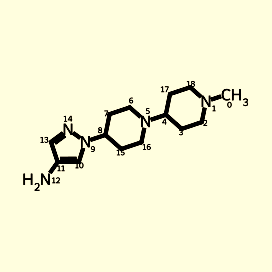 CN1CCC(N2CCC(n3cc(N)cn3)CC2)CC1